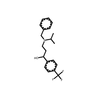 CC(C)N(CCC(O)c1ccc(C(F)(F)F)cc1)Cc1ccccc1